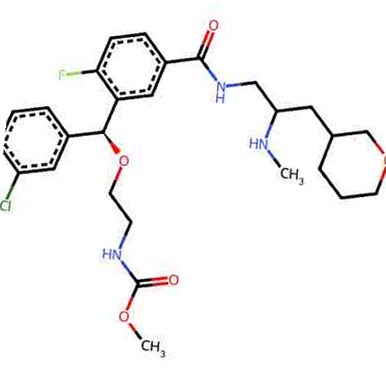 CNC(CNC(=O)c1ccc(F)c([C@@H](OCCNC(=O)OC)c2cccc(Cl)c2)c1)CC1CCCOC1